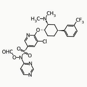 CN(C)[C@H]1C[C@@H](c2cccc(C(F)(F)F)c2)CC[C@@H]1Oc1ncc(S(=O)(=O)N(OC=O)c2ccncn2)cc1Cl